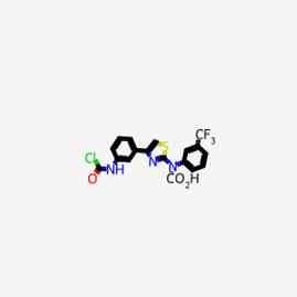 O=C(Cl)Nc1cccc(-c2csc(N(C(=O)O)c3cccc(C(F)(F)F)c3)n2)c1